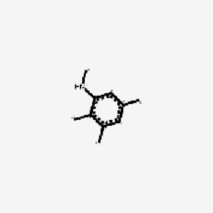 CNc1cc(C)cc(C)c1C